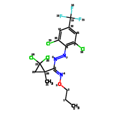 CCCON=C(N=Nc1c(Cl)cc(C(F)(F)F)cc1Cl)C1(C)CC1(Cl)Cl